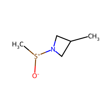 CC1CN([S+](C)[O-])C1